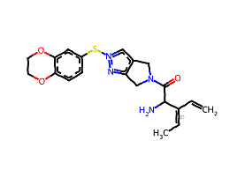 C=C/C(=C/C)C(N)C(=O)N1Cc2cn(Sc3ccc4c(c3)OCCO4)nc2C1